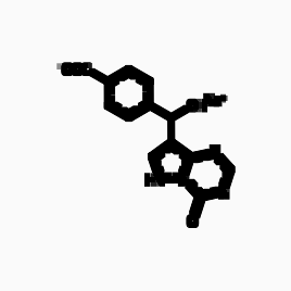 O=C([O-])c1ccc(C(O)c2c[nH]n3c(=O)ncnc23)cc1.[Na+]